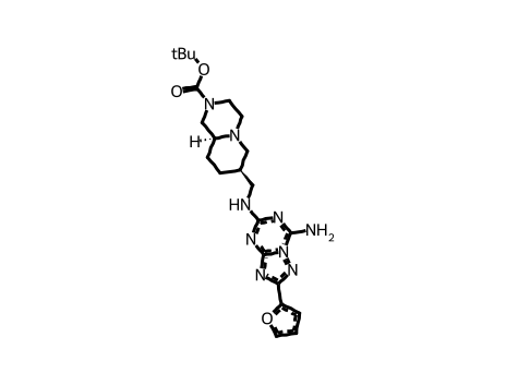 CC(C)(C)OC(=O)N1CCN2C[C@@H](CNc3nc(N)n4nc(-c5ccco5)nc4n3)CC[C@H]2C1